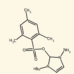 CCCCN1C=CN(N)C1OS(=O)(=O)c1c(C)cc(C)cc1C